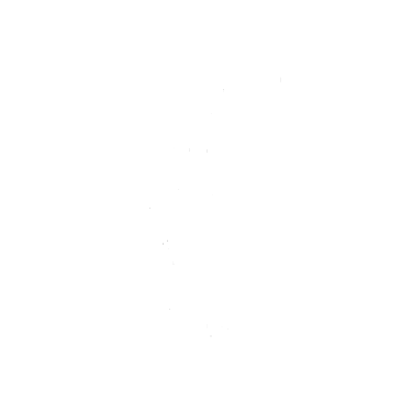 CCCCc1ccc(C(=O)OC(C)CC(C)OC(=O)c2ccc(CCCC)cc2)cc1